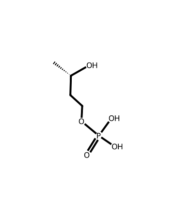 C[C@H](O)CCOP(=O)(O)O